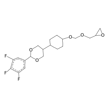 Fc1cc(C2OCC(C3CCC(OCOCC4CO4)CC3)CO2)cc(F)c1F